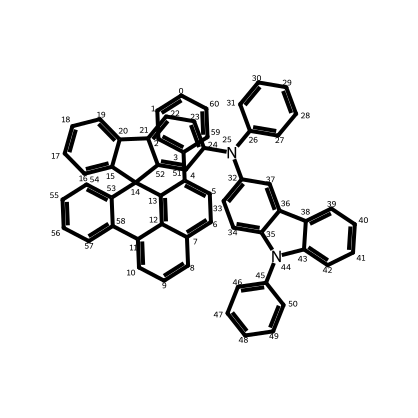 c1ccc(-c2ccc3cccc4c3c2C2(c3ccccc3-c3ccc(N(c5ccccc5)c5ccc6c(c5)c5ccccc5n6-c5ccccc5)cc32)c2ccccc2-4)cc1